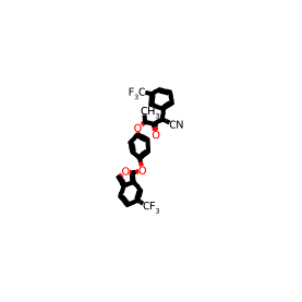 CC(Oc1ccc(Oc2occ3ccc(C(F)(F)F)cc23)cc1)C(=O)C(C#N)c1cccc(C(F)(F)F)c1